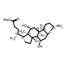 COC(=O)CC[C@@H](C)[C@H]1CC[C@H]2[C@@H]3[C@H](O)CC4C[C@@H](N)CC[C@]4(C)[C@H]3C[C@H](O)[C@]12C